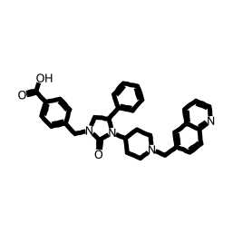 O=C(O)c1ccc(CN2CC(c3ccccc3)N(C3CCN(Cc4ccc5ncccc5c4)CC3)C2=O)cc1